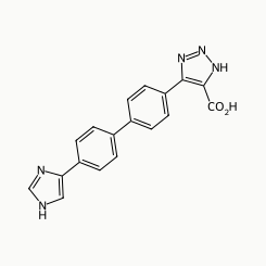 O=C(O)c1[nH]nnc1-c1ccc(-c2ccc(-c3c[nH]cn3)cc2)cc1